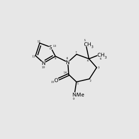 CNC1CCC(C)(C)CN(c2nccs2)C1=O